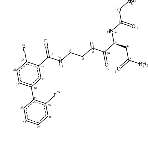 CC(C)(C)OC(=O)N[C@@H](CC(N)=O)C(=O)NCCNC(=O)c1cc(-c2ccccc2F)ccc1F